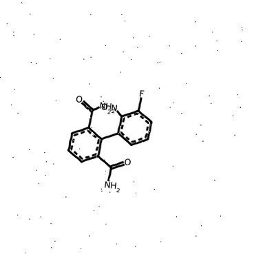 NC(=O)c1cccc(C(N)=O)c1-c1cccc(F)c1[N+](=O)[O-]